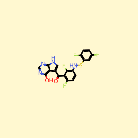 O=C(c1c(F)ccc(NSc2cc(F)ccc2F)c1F)c1c[nH]c2ncnc(O)c12